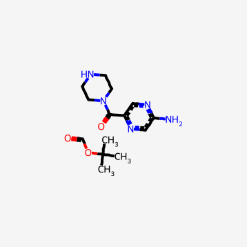 CC(C)(C)OC=O.Nc1cnc(C(=O)N2CCNCC2)cn1